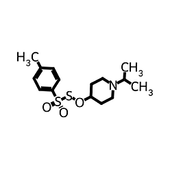 Cc1ccc(S(=O)(=O)SOC2CCN(C(C)C)CC2)cc1